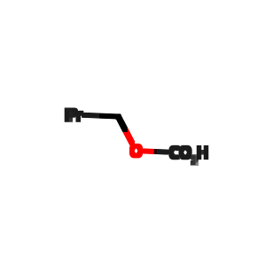 CC(C)COC(=O)O